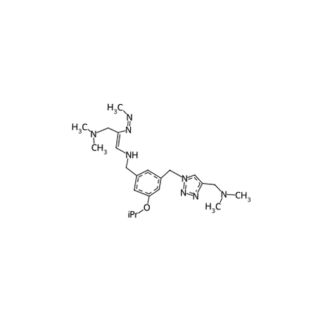 C/N=N\C(=C/NCc1cc(Cn2cc(CN(C)C)nn2)cc(OC(C)C)c1)CN(C)C